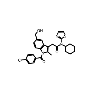 Cc1c(CC(=O)N(c2nccs2)C2CCCCC2)c2cc(CO)ccc2n1C(=O)c1ccc(Cl)cc1